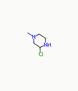 CN1C[CH]NC(Cl)C1